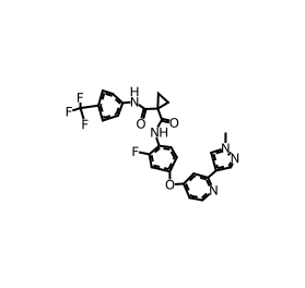 Cn1cc(-c2cc(Oc3ccc(NC(=O)C4(C(=O)Nc5ccc(C(F)(F)F)cc5)CC4)c(F)c3)ccn2)cn1